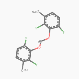 COc1ccc(F)c(OBOc2c(F)ccc(OC)c2F)c1F